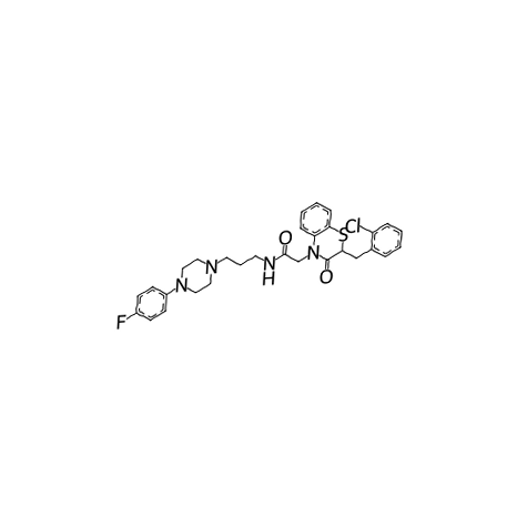 O=C(CN1C(=O)C(Cc2ccccc2Cl)Sc2ccccc21)NCCCN1CCN(c2ccc(F)cc2)CC1